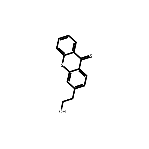 OCCc1ccc2c(=S)c3ccccc3sc2c1